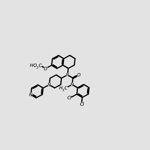 CN(C(=O)N(C1CCN(c2ccncc2)CC1)C1CCCc2ccc(OC(=O)O)cc21)c1cccc(Cl)c1Cl